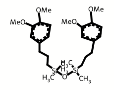 COc1ccc(CCC[Si](C)(C)O[Si](C)(C)CCCc2ccc(OC)c(OC)c2)cc1OC